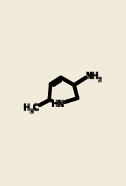 CC1C=CC(N)CN1